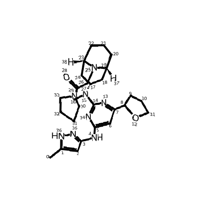 Cc1cc(Nc2cc(C3CCCO3)nc(N(C)[C@H]3C[C@H]4CCC[C@@H](C3)N4CC(=O)N3CCCC3)n2)n[nH]1